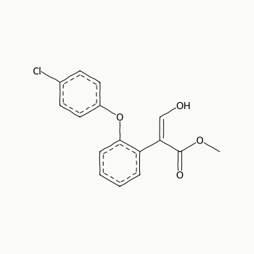 COC(=O)/C(=C\O)c1ccccc1Oc1ccc(Cl)cc1